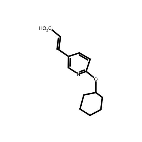 O=C(O)/C=C/c1ccc(OC2CCCCC2)nc1